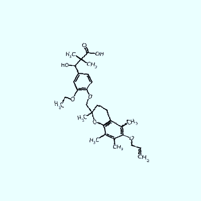 C=CCOc1c(C)c(C)c2c(c1C)CCC(C)(COc1ccc(C(O)C(C)(C)C(=O)O)cc1OCC)O2